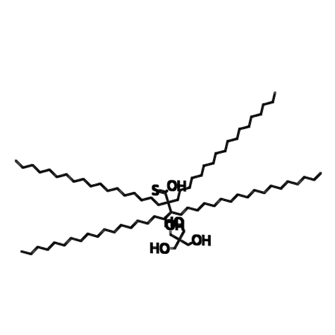 CCCCCCCCCCCCCCCCCCC(CCCCCCCCCCCCCCCCCC)C(CCCCCCCCCCCCCCCCCC)(CCCCCCCCCCCCCCCCCC)C(O)=S.OCC(CO)(CO)CO